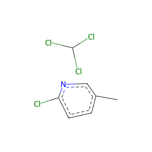 Cc1ccc(Cl)nc1.ClC(Cl)Cl